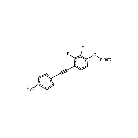 CCCCCOc1ccc(C#Cc2ccc(C)cc2)c(F)c1F